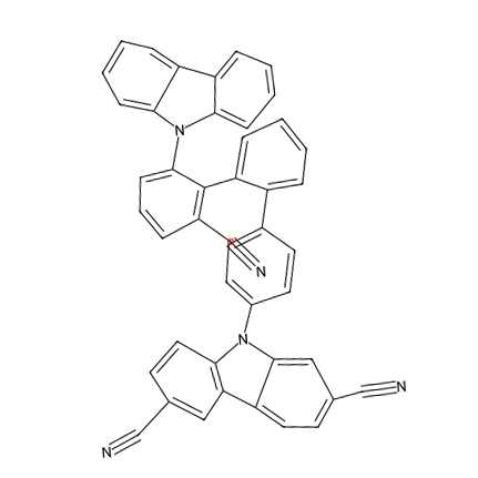 N#Cc1ccc2c(c1)c1ccc(C#N)cc1n2-c1ccc(-c2ccccc2-c2c(C#N)cccc2-n2c3ccccc3c3ccccc32)cc1